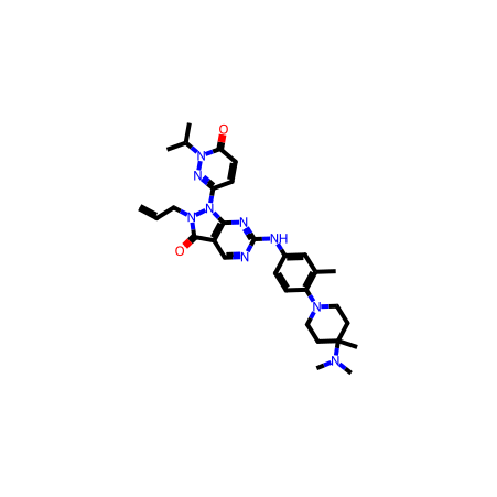 C=CCn1c(=O)c2cnc(Nc3ccc(N4CCC(C)(N(C)C)CC4)c(C)c3)nc2n1-c1ccc(=O)n(C(C)C)n1